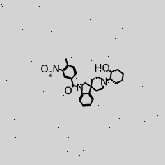 Cc1ccc(C(=O)N2CC3(CCN(C4CCCCC4O)CC3)c3ccccc32)cc1[N+](=O)[O-]